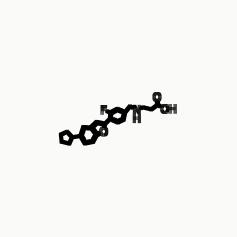 O=C(O)CCNCc1ccc(-c2cc3cc(C4CCCC4)ccc3o2)c(F)c1